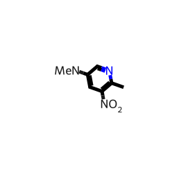 CNc1cnc(C)c([N+](=O)[O-])c1